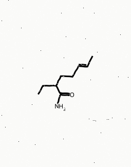 CC=CCCC(CC)C(N)=O